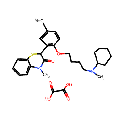 COc1ccc(OCCCCN(C)C2CCCCC2)c(C2Sc3ccccc3N(C)C2=O)c1.O=C(O)C(=O)O